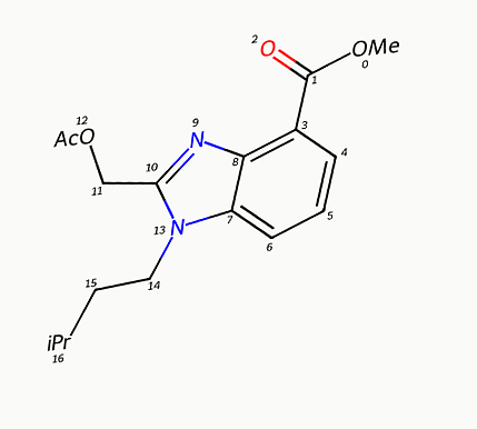 COC(=O)c1cccc2c1nc(COC(C)=O)n2CCC(C)C